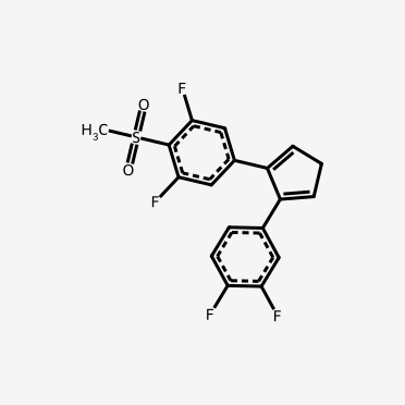 CS(=O)(=O)c1c(F)cc(C2=CCC=C2c2ccc(F)c(F)c2)cc1F